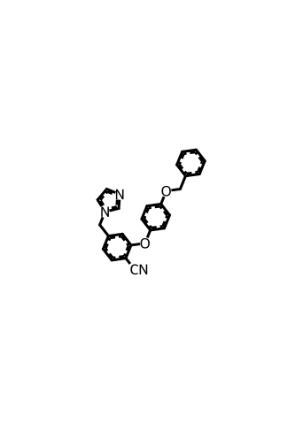 N#Cc1ccc(Cn2ccnc2)cc1Oc1ccc(OCc2ccccc2)cc1